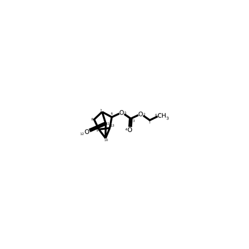 CCOC(=O)OC1C2CC3C(C2=O)C31